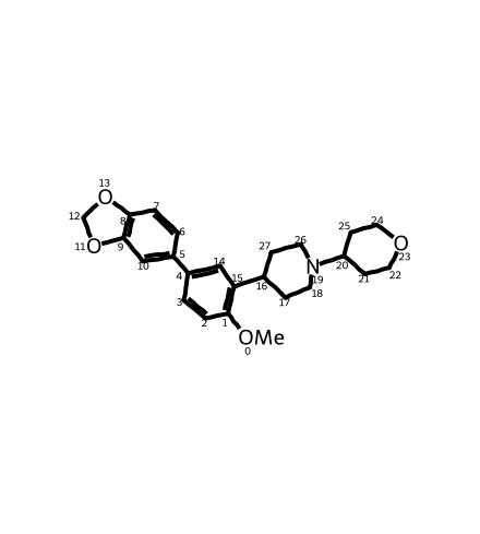 COc1ccc(-c2ccc3c(c2)OCO3)cc1C1CCN(C2CCOCC2)CC1